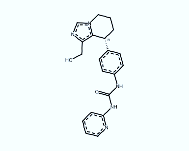 O=C(Nc1ccc([C@H]2CCCn3cnc(CO)c32)cc1)Nc1ccccn1